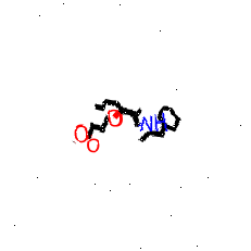 C=C/C=C\C(OCCCC(=O)OC)=C(/C)CNC(C)CC1CCCCC1